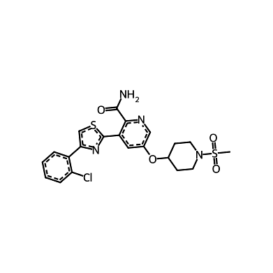 CS(=O)(=O)N1CCC(Oc2cnc(C(N)=O)c(-c3nc(-c4ccccc4Cl)cs3)c2)CC1